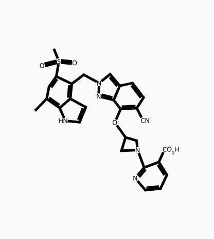 Cc1cc(S(C)(=O)=O)c(Cn2cc3ccc(C#N)c(OC4CN(c5ncccc5C(=O)O)C4)c3n2)c2cc[nH]c12